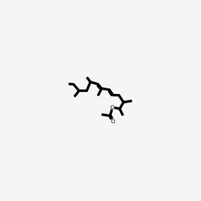 CCC(C)CC(C)/C=C(C)/C=C/CC(C)C(C)OC(C)=O